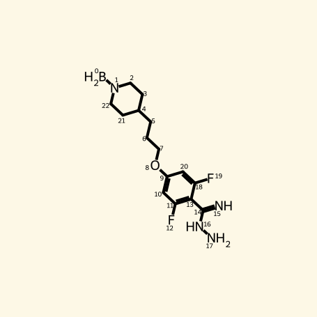 BN1CCC(CCCOc2cc(F)c(C(=N)NN)c(F)c2)CC1